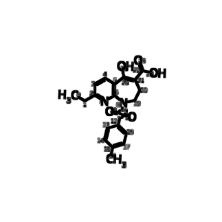 CCc1ccc2c(n1)N(S(=O)(=O)c1ccc(C)cc1)CCC(C(=O)O)=C2O